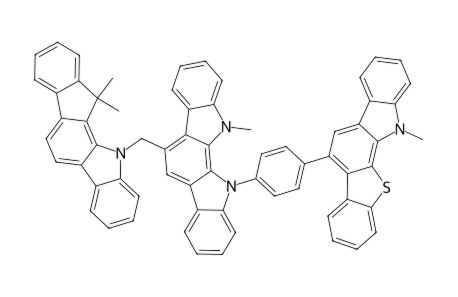 Cn1c2ccccc2c2cc(-c3ccc(-n4c5ccccc5c5cc(Cn6c7ccccc7c7ccc8c(c76)C(C)(C)c6ccccc6-8)c6c7ccccc7n(C)c6c54)cc3)c3c4ccccc4sc3c21